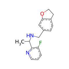 CC(NCc1ccc2c(c1)OCC2)c1ncccc1F